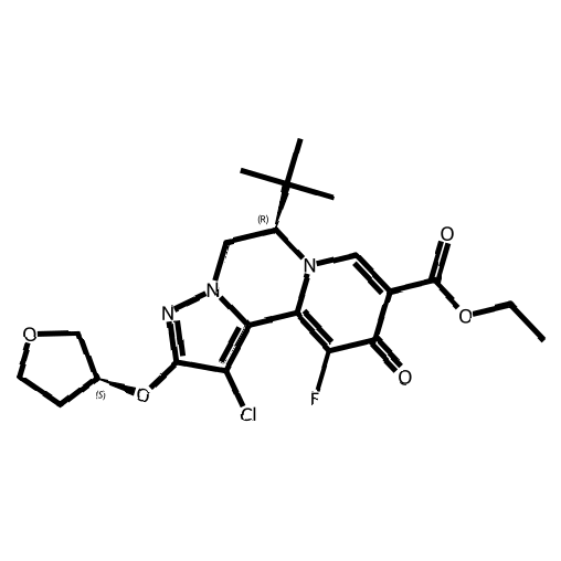 CCOC(=O)c1cn2c(c(F)c1=O)-c1c(Cl)c(O[C@H]3CCOC3)nn1C[C@H]2C(C)(C)C